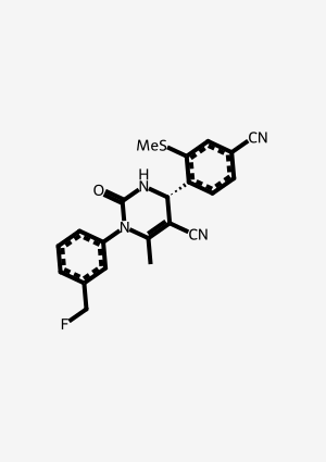 CSc1cc(C#N)ccc1[C@H]1NC(=O)N(c2cccc(CF)c2)C(C)=C1C#N